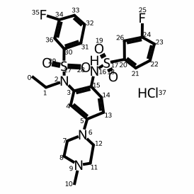 CCN(c1cc(N2CCN(C)CC2)ccc1NS(=O)(=O)c1cccc(F)c1)S(=O)(=O)c1cccc(F)c1.Cl